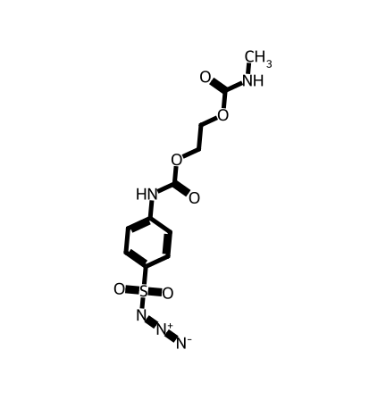 CNC(=O)OCCOC(=O)Nc1ccc(S(=O)(=O)N=[N+]=[N-])cc1